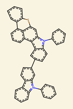 c1ccc(-n2c3ccccc3c3ccc(-c4ccc5c(c4)c4c6cccc7c6c(cc4n5-c4ccccc4)Sc4ccccc4-7)cc32)cc1